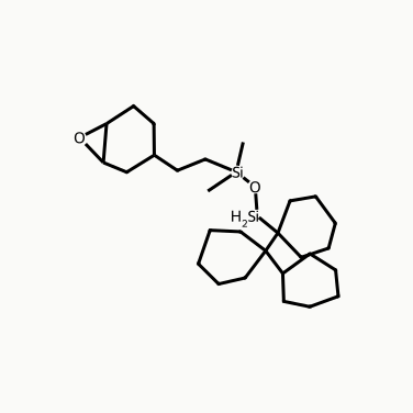 C[Si](C)(CCC1CCC2OC2C1)O[SiH2]C1(C2(C3CCCCC3)CCCCC2)CCCCC1